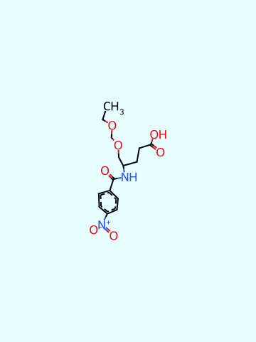 CCOCOCC(CCC(=O)O)NC(=O)c1ccc([N+](=O)[O-])cc1